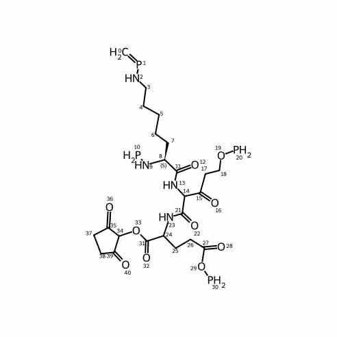 C=PNCCCCC[C@H](NP)C(=O)NC(C(=O)CCOP)C(=O)NC(CCC(=O)OP)C(=O)OC1C(=O)CCC1=O